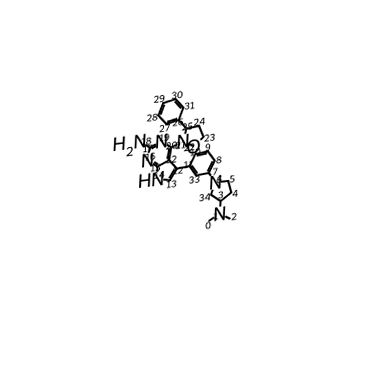 CN(C)C1CCN(c2cccc(-c3c[nH]c4nc(N)nc(N5OCCC5c5ccccc5)c34)c2)C1